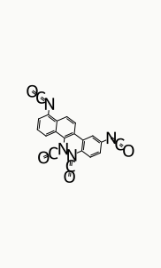 O=C=Nc1ccc(N=C=O)c(-c2ccc3c(N=C=O)cccc3c2N=C=O)c1